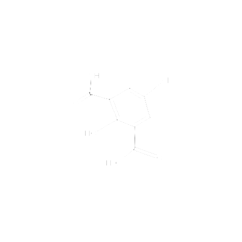 CC(=O)c1cc(Cl)cc(C(C)=O)c1O